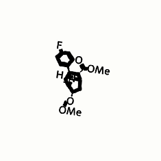 COCO[C@H]1CC2[C@@H](C(=O)OC)[C@H](c3ccc(F)cc3)CC1N2C